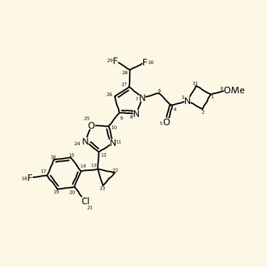 COC1CN(C(=O)Cn2nc(-c3nc(C4(c5ccc(F)cc5Cl)CC4)no3)cc2C(F)F)C1